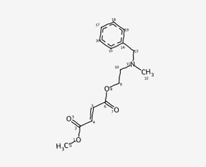 COC(=O)/C=C/C(=O)OCCN(C)Cc1ccccc1